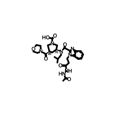 CC(=O)NNC(=O)CCn1c(C(=O)N(CC(C)C)[C@H]2C[C@@H](C(=O)N3CCOCC3)CN(C(=O)O)C2)nc2ccccc21